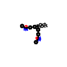 CCCCCCCCC1(CCCCCCCC)c2ccc(-c3ccc(-c4nnc(-c5ccccc5)o4)cc3)cc2-c2cc(-c3ccc(-c4nnc(-c5ccccc5)o4)cc3)ccc21